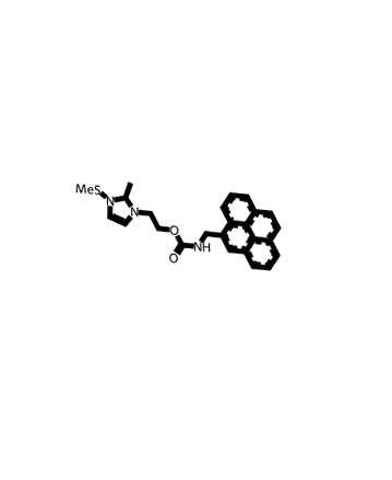 CSN1C=CN(CCOC(=O)NCc2cc3cccc4ccc5cccc2c5c43)C1C